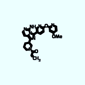 C=CC(=O)N1CCCC(c2nc(-c3ccc(Oc4cc(OC)ccn4)nc3)n3c(N)nccc23)C1